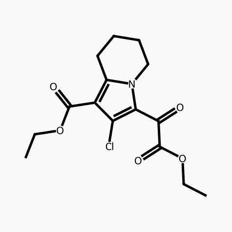 CCOC(=O)C(=O)c1c(Cl)c(C(=O)OCC)c2n1CCCC2